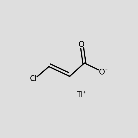 O=C([O-])/C=C/Cl.[Tl+]